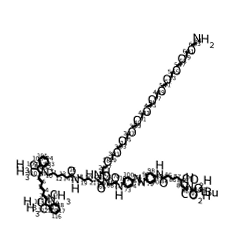 CN1\C(=C/C=C/C=C/C2=[N+](CCCCCC(=O)NCCCC[C@H](NC(=O)CCOCCOCCOCCOCCOCCOCCOCCOCCOCCOCCOCCOCCN)C(=O)NCC(=O)Nc3ccc(/N=N/c4ccc(NC(=O)CCC[C@@H](C[C@H](NC(=O)OC(C)(C)C)C(=O)O)C(=O)O)cc4)cc3)c3ccccc3C2(C)C)C(C)(C)c2ccccc21